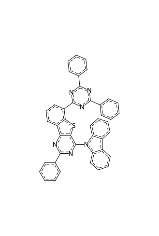 c1ccc(-c2nc(-c3ccccc3)nc(-c3cccc4c3sc3c(-n5c6ccccc6c6ccccc65)nc(-c5ccccc5)nc34)n2)cc1